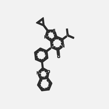 CN(C)c1nc(=O)n(-c2cccc(-c3nc4ccccc4o3)c2)c2nc(C3CC3)sc12